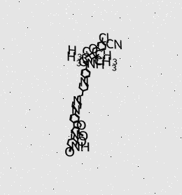 CC1(C)C(NC(=O)c2ccc(N3CCC(CCN4CCN(c5ccc6c7c(oc6c5)C(=O)N(C5CCC(=O)NC5=O)C7)CC4)CC3)cc2)C(C)(C)C1Oc1ccc(C#N)c(Cl)c1